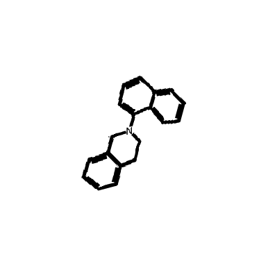 [CH]1c2ccccc2CCN1c1cccc2ccccc12